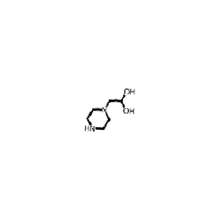 OC(O)CN1CCNCC1